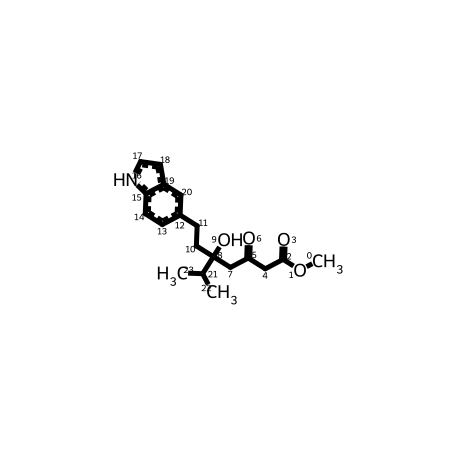 COC(=O)CC(=O)CC(O)(CCc1ccc2[nH]ccc2c1)C(C)C